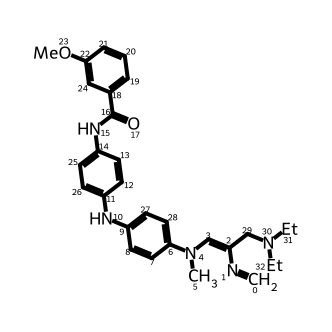 C=N/C(=C\N(C)c1ccc(Nc2ccc(NC(=O)c3cccc(OC)c3)cc2)cc1)CN(CC)CC